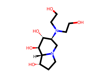 OCCN(CCO)[C@H]1CN2CC[C@H](O)[C@@H]2[C@@H](O)[C@@H]1O